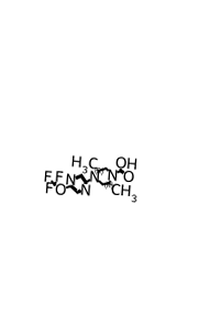 C[C@@H]1CN(c2cnc(OC(F)(F)F)cn2)[C@H](C)CN1C(=O)O